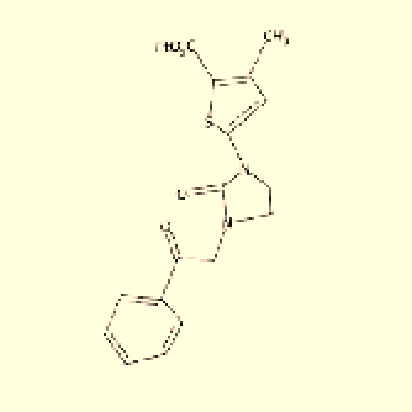 CCOC(=O)c1sc(N2CCN(CC(=O)c3ccccc3)C2=O)cc1C